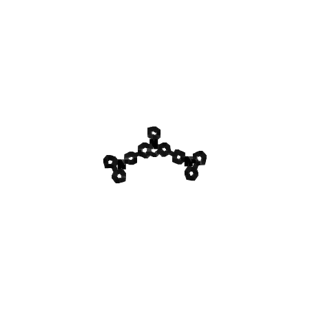 c1ccc(N2c3ccc(-c4ccc(-n5c6ccccc6c6ccccc65)cc4)cc3Cc3cc(-c4ccc(-n5c6ccccc6c6ccccc65)cc4)ccc32)cc1